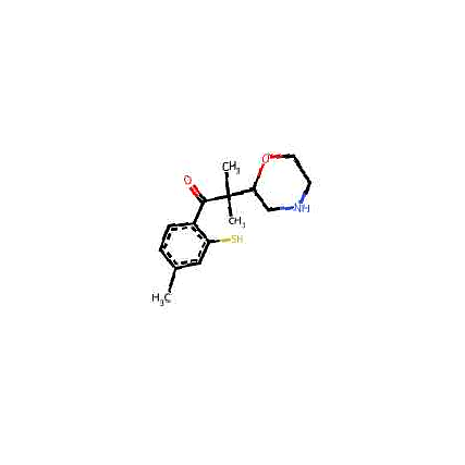 Cc1ccc(C(=O)C(C)(C)C2CNCCO2)c(S)c1